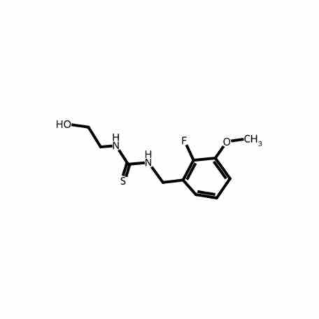 COc1cccc(CNC(=S)NCCO)c1F